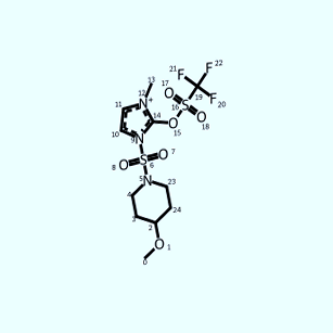 COC1CCN(S(=O)(=O)n2cc[n+](C)c2OS(=O)(=O)C(F)(F)F)CC1